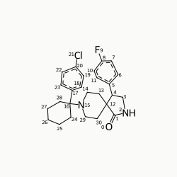 O=C1NCC(c2ccc(F)cc2)C12CCN(C1(c3ccc(Cl)cc3)CCCCC1)CC2